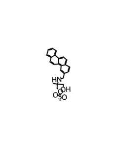 CC(CO)(COS(C)(=O)=O)NCc1ccc2ccc3c4ccccc4ccc3c2c1